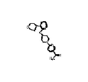 CC(=O)c1ccc(N2CCC(Oc3ncccc3C3CCOCC3)CC2)nc1